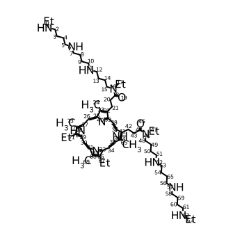 CCNCCCCNCCCCNCCCCN(CC)C(=O)CCC1=C(C)c2cc3[nH]c(cc4nc(cc5[nH]c(cc1n2)c(CCC(=O)N(CC)CCCCNCCCCNCCCCNCC)c5C)C(CC)=C4C)c(CC)c3C